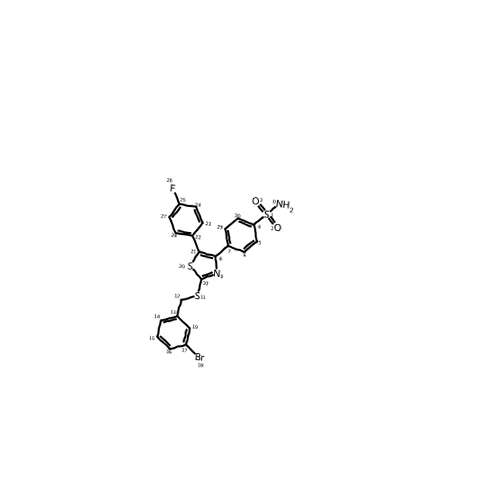 NS(=O)(=O)c1ccc(-c2nc(SCc3cccc(Br)c3)sc2-c2ccc(F)cc2)cc1